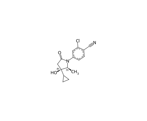 C[C@@H]1N(c2ccc(C#N)c(Cl)c2)C(=O)C[C@@]1(O)C1CC1